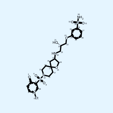 CCn1ccc(=O)c(S(=O)(=O)N2CCC3(CC2)CC(NC[C@H](O)COc2cccc(S(N)(=O)=O)c2)CO3)c1